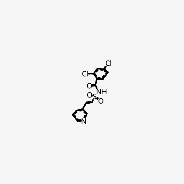 O=C(NS(=O)(=O)C=Cc1cccnc1)c1ccc(Cl)cc1Cl